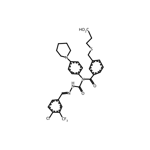 O=C(O)CCSCc1cccc(C(=O)N(C(=O)NN=Cc2ccc(Cl)c(C(F)(F)F)c2)c2ccc(N3CCCCC3)cc2)c1